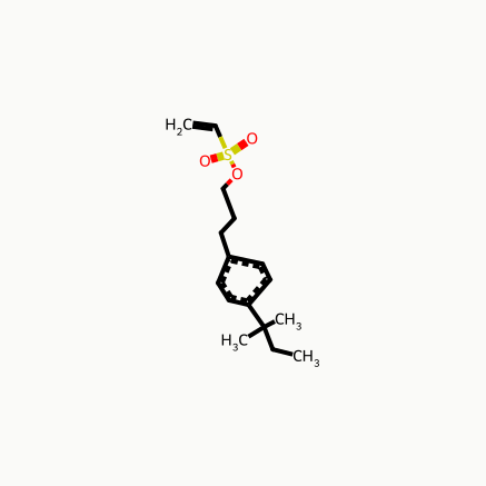 C=CS(=O)(=O)OCCCc1ccc(C(C)(C)CC)cc1